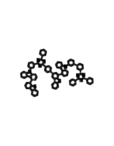 c1ccc(-c2nc(-c3ccccc3)nc(-c3cccc(-c4cccc(-n5c6ccccc6c6c(-c7cc(-c8ccc(-c9nc(-c%10ccccc%10)nc(-c%10cccc(-n%11c%12ccccc%12c%12c(-c%13cccc%14c%13sc%13ccccc%13%14)cccc%12%11)c%10)n9)cc8)cc8c7sc7ccccc78)cccc65)c4)c3)n2)cc1